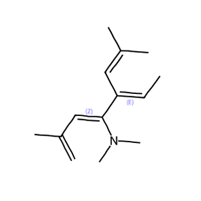 C=C(C)/C=C(/C(C=C(C)C)=C/C)N(C)C